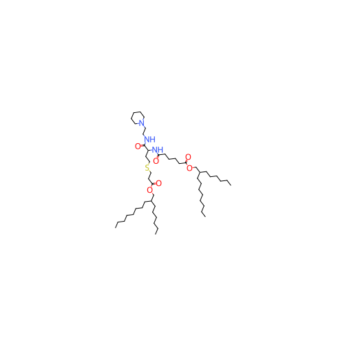 CCCCCCCCC(CCCCCC)COC(=O)CCCCC(=O)NC(CCSCCC(=O)OCC(CCCCCC)CCCCCCCC)C(=O)NCCN1CCCCC1